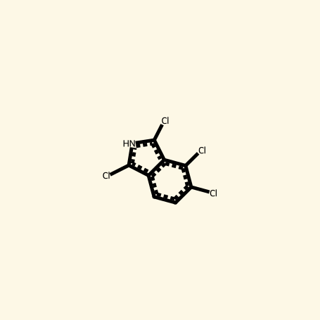 Clc1ccc2c(Cl)[nH]c(Cl)c2c1Cl